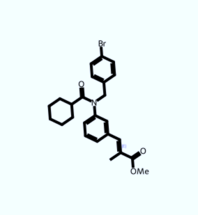 COC(=O)/C(C)=C/c1cccc(N(Cc2ccc(Br)cc2)C(=O)C2CCCCC2)c1